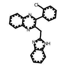 Clc1ccccc1-c1nc2ccccc2nc1Cc1nc2ccccc2[nH]1